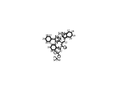 CC(C)(C)OC(=O)CN1C(=O)/C(=C/c2c[nH]c3ccccc23)c2nnc(-c3ccccc3)n2-c2ccccc21